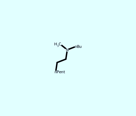 CCCCCCCN(C)CCCC